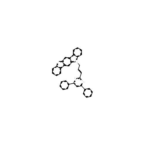 C(=C\c1nc(-c2ccccc2)cc(-c2ccccc2)n1)/Cn1c2ccccc2c2cc3sc4ccccc4c3cc21